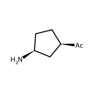 CC(=O)[C@@H]1CC[C@H](N)C1